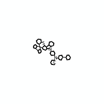 c1ccc(-c2ccc(N(c3ccccc3)c3ccc(-n4c5ccccc5c5c6c(ccc54)C4(c5ccccc5S6)c5ccccc5-c5ccccc54)cc3)cc2)cc1